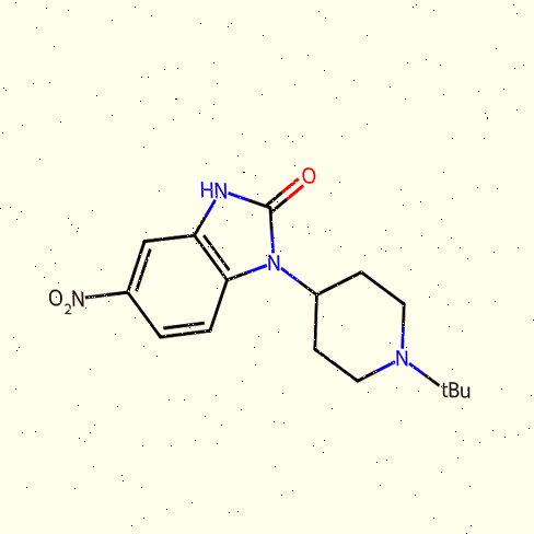 CC(C)(C)N1CCC(n2c(=O)[nH]c3cc([N+](=O)[O-])ccc32)CC1